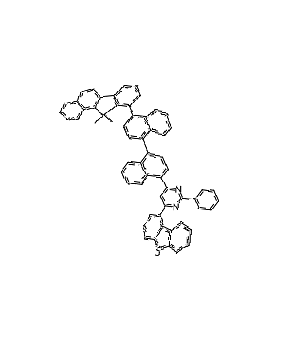 CC1(C)c2c(cccc2-c2ccc(-c3ccc(-c4cc(-c5cccc6sc7ccccc7c56)nc(-c5ccccc5)n4)c4ccccc34)c3ccccc23)-c2ccc3ccccc3c21